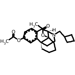 CC(=O)Oc1ccc2c(c1)[C@@]13CCCC[C@@]1(OC(C)=O)[C@@H](C2)N(CC1CCC1)CC3